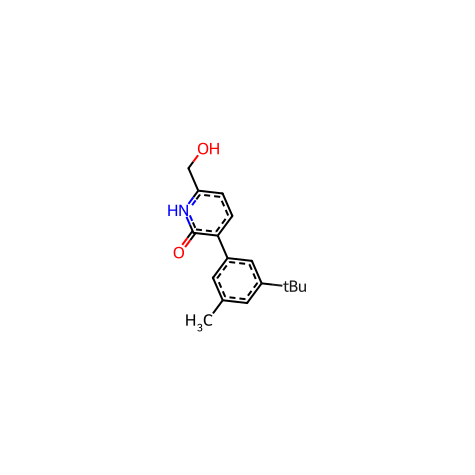 Cc1cc(-c2ccc(CO)[nH]c2=O)cc(C(C)(C)C)c1